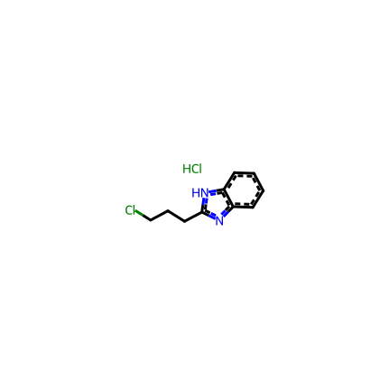 Cl.ClCCCc1nc2ccccc2[nH]1